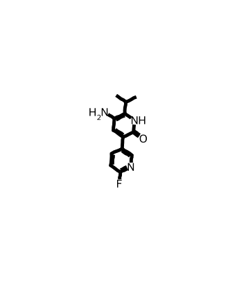 CC(C)c1[nH]c(=O)c(-c2ccc(F)nc2)cc1N